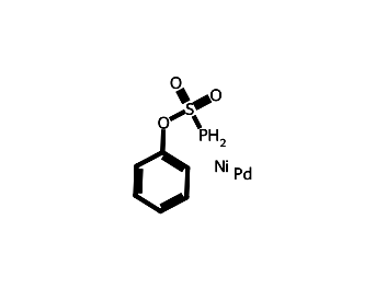 O=S(=O)(P)Oc1ccccc1.[Ni].[Pd]